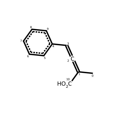 CC(=C=Cc1ccccc1)C(=O)O